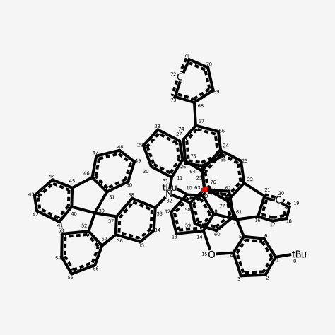 CC(C)(C)c1ccc2c(c1)C1(c3cc(C(C)(C)C)ccc3O2)c2ccccc2-c2ccc(-c3ccccc3N(c3ccc4c(c3)C3(c5ccccc5-c5ccccc53)c3ccccc3-4)c3ccccc3-c3ccc(-c4ccccc4)cc3)cc21